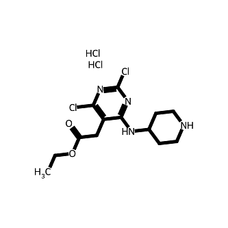 CCOC(=O)Cc1c(Cl)nc(Cl)nc1NC1CCNCC1.Cl.Cl